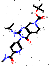 CNC(=O)c1ccc(-n2c(NC(C)C)nc3c(c2=O)C[C@@H](C)N(C(=O)OC(C)(C)C)C3)cn1